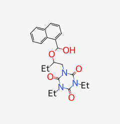 CCC(Cn1c(=O)n(CC)c(=O)n(CC)c1=O)OC(O)c1cccc2ccccc12